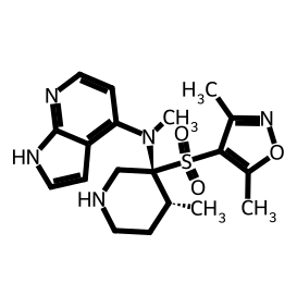 Cc1noc(C)c1S(=O)(=O)[C@@]1(N(C)c2ccnc3[nH]ccc23)CNCC[C@H]1C